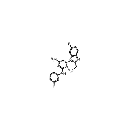 CCc1nc2ccc(F)cc2n1-c1cc(N)nc(Nc2cccc(F)c2)n1